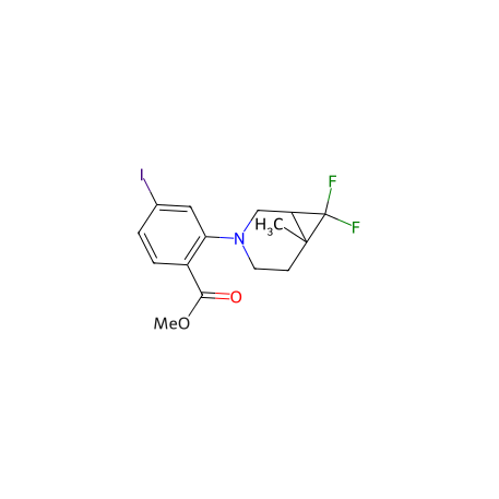 COC(=O)c1ccc(I)cc1N1CCC2(C)C(C1)C2(F)F